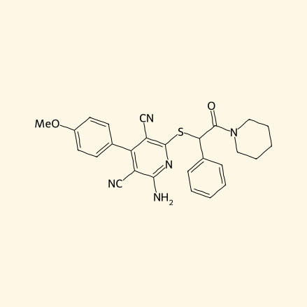 COc1ccc(-c2c(C#N)c(N)nc(SC(C(=O)N3CCCCC3)c3ccccc3)c2C#N)cc1